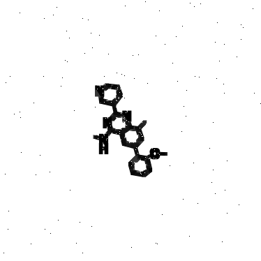 CNc1nc(-c2cccnc2)nc2c(C)cc(-c3ccccc3OC)cc12